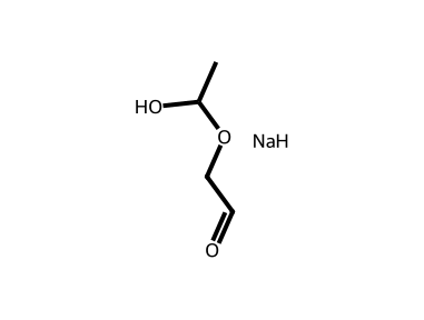 CC(O)OCC=O.[NaH]